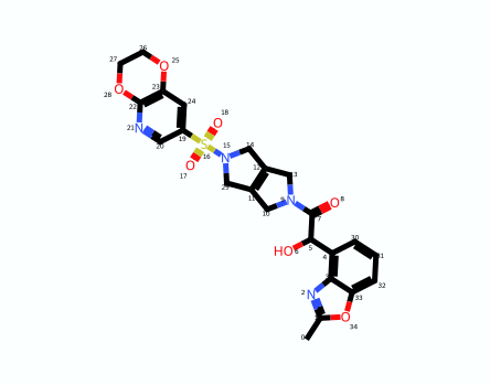 Cc1nc2c(C(O)C(=O)N3CC4=C(C3)CN(S(=O)(=O)c3cnc5c(c3)OCCO5)C4)cccc2o1